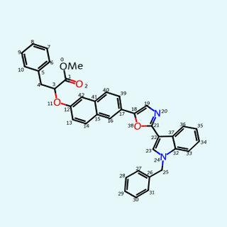 COC(=O)C(Cc1ccccc1)Oc1ccc2cc(-c3cnc(-c4cn(Cc5ccccc5)c5ccccc45)o3)ccc2c1